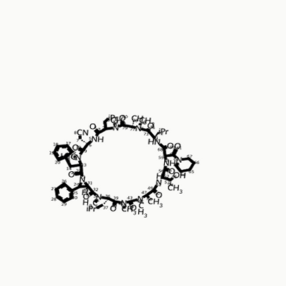 CC(C)CC1C(=O)N[C@@H](CC#N)C(=O)N(C)C(Cc2ccccc2)C(=O)N2C(c3ccccc3)[C@H]2C(=O)N(C)[C@@H](CC(C)C)C(=O)N(C)C(=O)N(C)C(C)C(=O)N[C@@H]([C@@H](C)O)C(=O)NC(C(=O)N2CCCCC2)C(=O)N[C@H](C(C)C)C(=O)N(C)[C@@H](C)C(=O)N1C